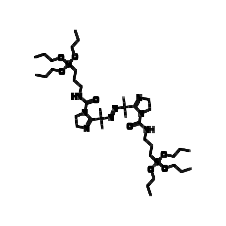 CCCO[Si](CCCNC(=O)N1CCN=C1C(C)(C)N=NC(C)(C)C1=NCCN1C(=O)NCCC[Si](OCCC)(OCCC)OCCC)(OCCC)OCCC